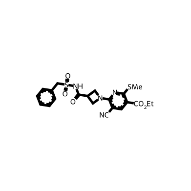 CCOC(=O)c1cc(C#N)c(N2CC(C(=O)NS(=O)(=O)Cc3ccccc3)C2)nc1SC